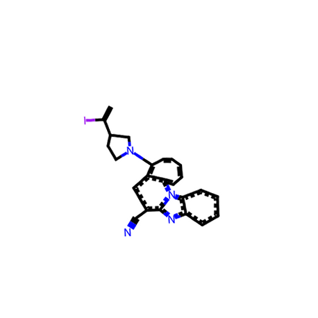 C=C(I)C1CCN(C2=c3\cc(C#N)c4nc5ccccc5n4\c3=C/C=C/C=C\2)C1